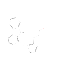 CC1c2ccccc2-c2ccc[c]([Zr+2][C]3=C(CCCO)C=CC3)c21.[Cl-].[Cl-]